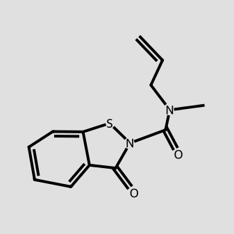 C=CCN(C)C(=O)n1sc2ccccc2c1=O